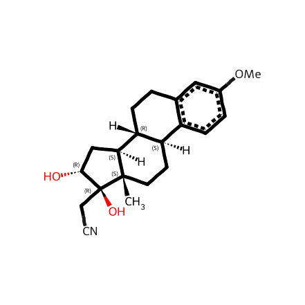 COc1ccc2c(c1)CC[C@@H]1[C@@H]2CC[C@@]2(C)[C@H]1C[C@@H](O)[C@@]2(O)CC#N